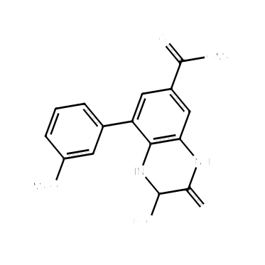 COC(=O)c1cc2c(c(-c3cccc(OC)c3)c1)NC(C)C(=O)N2